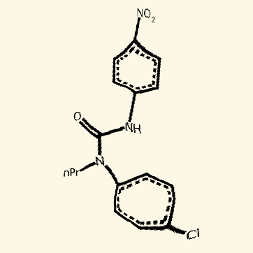 CCCN(C(=O)Nc1ccc([N+](=O)[O-])cc1)c1ccc(Cl)cc1